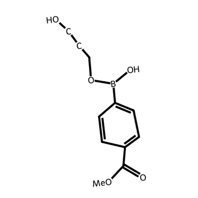 COC(=O)c1ccc(B(O)OCCCO)cc1